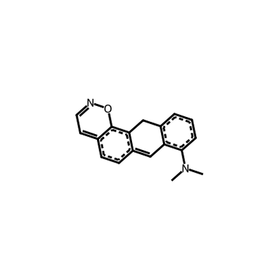 CN(C)c1cccc2c1C=c1ccc3c(c1C2)ON=CC=3